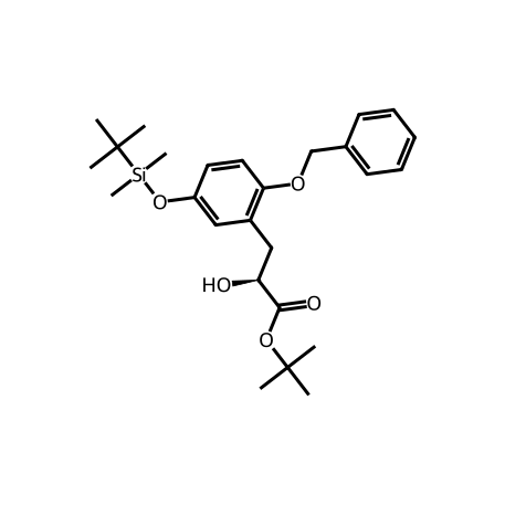 CC(C)(C)OC(=O)[C@@H](O)Cc1cc(O[Si](C)(C)C(C)(C)C)ccc1OCc1ccccc1